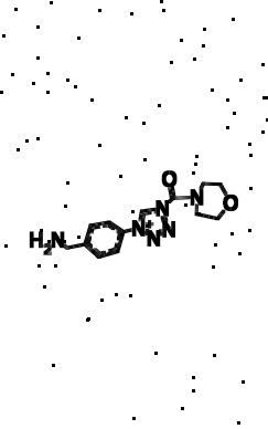 NCc1ccc(-[n+]2cn(C(=O)N3CCOCC3)nn2)cc1